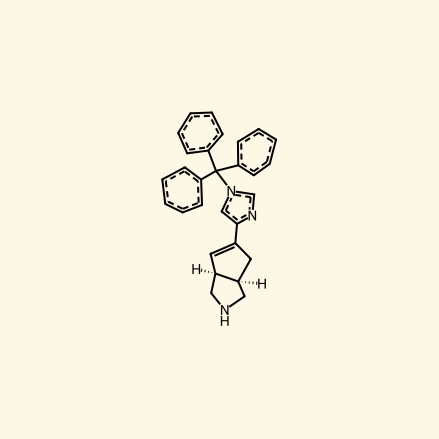 C1=C(c2cn(C(c3ccccc3)(c3ccccc3)c3ccccc3)cn2)C[C@H]2CNC[C@@H]12